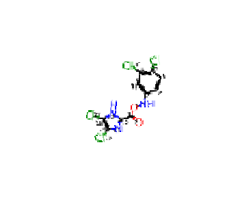 O=C(ONc1ccc(Cl)c(Cl)c1)c1nc(Cl)c(Cl)[nH]1